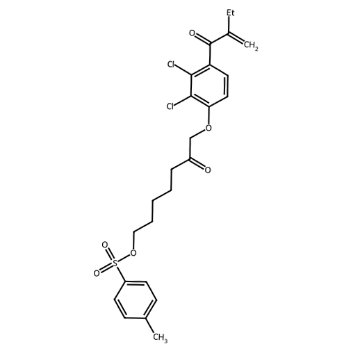 C=C(CC)C(=O)c1ccc(OCC(=O)CCCCCOS(=O)(=O)c2ccc(C)cc2)c(Cl)c1Cl